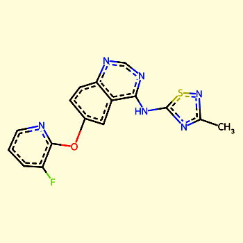 Cc1nsc(Nc2ncnc3ccc(Oc4ncccc4F)cc23)n1